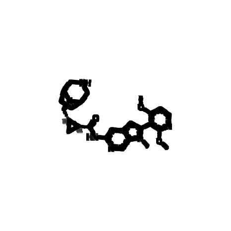 COc1ccnc(OC)c1-c1cc2cc(NC(=O)[C@H]3C[C@@H]3CN3C4CCC3CNC4)ncc2n1C